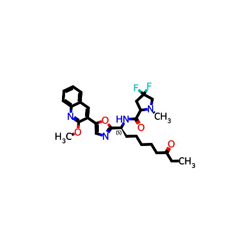 CCC(=O)CCCCC[C@H](NC(=O)C1CC(F)(F)CN1C)c1ncc(-c2cc3ccccc3nc2OC)o1